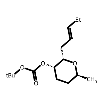 CC/C=C/C[C@@H]1O[C@@H](C)CC[C@@H]1OC(=O)OC(C)(C)C